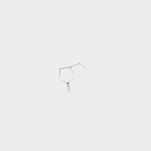 CC[C@]1(C)COC(=O)N1